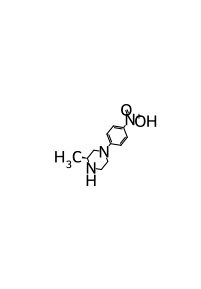 C[C@H]1CN(c2ccc([N+](=O)O)cc2)CCN1